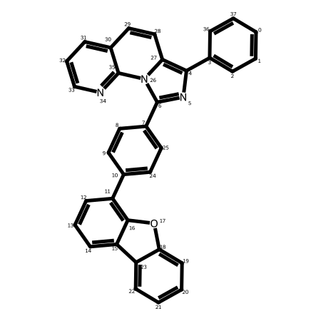 c1ccc(-c2nc(-c3ccc(-c4cccc5c4oc4ccccc45)cc3)n3c2ccc2cccnc23)cc1